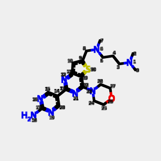 CN(C)CCCN(C)Cc1cc2nc(-c3cnc(N)nc3)nc(N3CCOCC3)c2s1